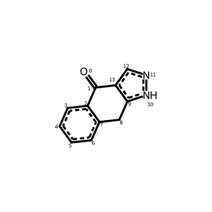 O=C1c2ccccc2Cc2[nH]ncc21